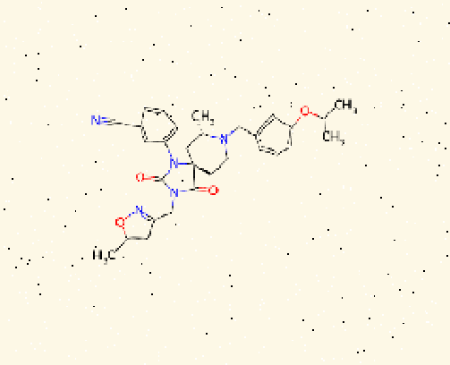 Cc1cc(CN2C(=O)N(c3cccc(C#N)c3)[C@@]3(CCN(Cc4cccc(OC(C)C)c4)[C@@H](C)C3)C2=O)no1